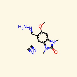 C#N.C#N.COc1cc2c(cc1C=NN)n(C)c(=O)n2C